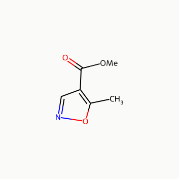 COC(=O)c1cnoc1C